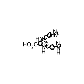 O=C(Cc1ccc(C2=NCCN2)cc1)Nc1cc(NC(=O)Cc2ccc(C3=NCCN3)cc2)cc(C(=O)O)c1